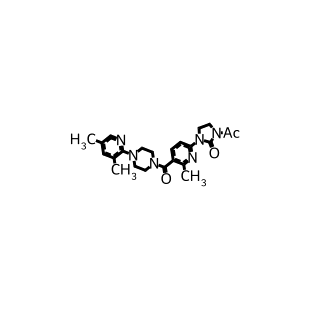 CC(=O)N1CCN(c2ccc(C(=O)N3CCN(c4ncc(C)cc4C)CC3)c(C)n2)C1=O